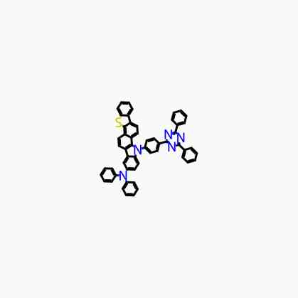 c1ccc(-c2nc(-c3ccccc3)nc(-c3ccc(-n4c5ccc(N(c6ccccc6)c6ccccc6)cc5c5ccc6c(ccc7c8ccccc8sc76)c54)cc3)n2)cc1